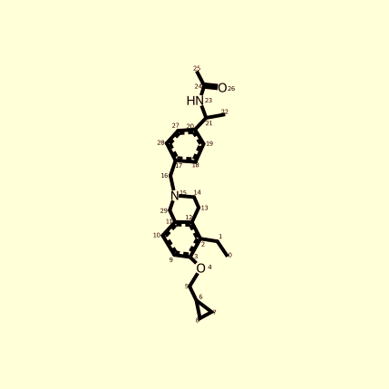 CCc1c(OCC2CC2)ccc2c1CCN(Cc1ccc(C(C)NC(C)=O)cc1)C2